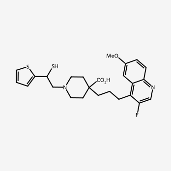 COc1ccc2ncc(F)c(CCCC3(C(=O)O)CCN(CC(S)c4cccs4)CC3)c2c1